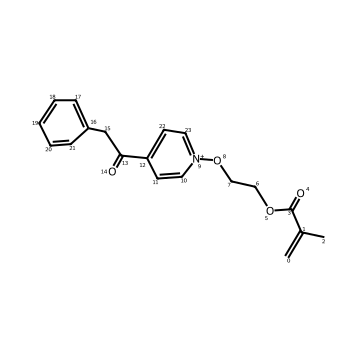 C=C(C)C(=O)OCCO[n+]1ccc(C(=O)Cc2ccccc2)cc1